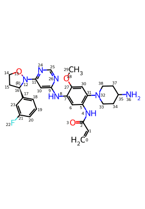 C=CC(=O)Nc1cc(Nc2cc(N3OCC[C@@H]3c3cccc(F)c3)ncn2)c(OC)cc1N1CCC(N)CC1